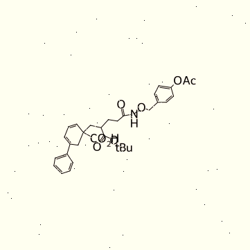 CC(=O)Oc1ccc(CONC(=O)CCC(CC2(C(=O)O)C=CC=C(c3ccccc3)C2)C(=O)OC(C)(C)C)cc1